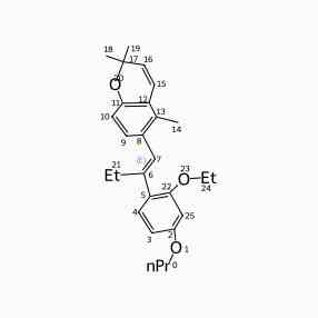 CCCOc1ccc(/C(=C/c2ccc3c(c2C)C=CC(C)(C)O3)CC)c(OCC)c1